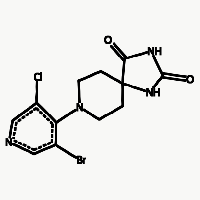 O=C1NC(=O)C2(CCN(c3c(Cl)cncc3Br)CC2)N1